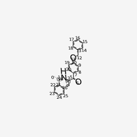 C[C@H](N[C@H](C)C(=O)c1ccc(OCc2ccccc2)cc1)c1ccccc1